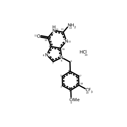 COc1ccc(Cn2cnc3c(=O)[nH]c(N)nc32)cc1C(F)(F)F.Cl